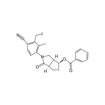 Cc1c(N2C[C@H]3[C@@H](OC(=O)c4ccccc4)CC[C@H]3C2=O)ccc(C#N)c1CI